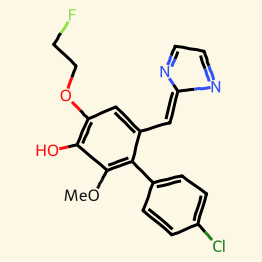 COc1c(O)c(OCCF)cc(C=C2N=CC=N2)c1-c1ccc(Cl)cc1